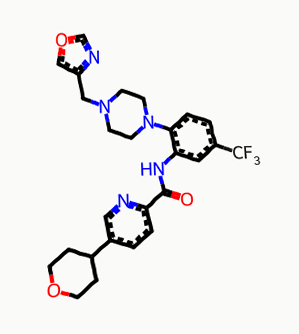 O=C(Nc1cc(C(F)(F)F)ccc1N1CCN(Cc2cocn2)CC1)c1ccc(C2CCOCC2)cn1